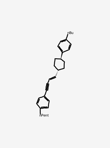 CCCCCc1ccc(C#CC=C[C@H]2CC[C@H](c3ccc(CCCC)cc3)CC2)cc1